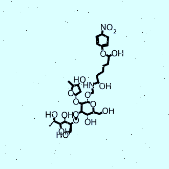 CC1O[C@@H](OC2C(OOC(CO)[C@H](O)C(O)[C@@H](C)O)[C@@H](O)C(CO)O[C@H]2OCNC(O)CCCCC(O)OC2=CCC([N+](=O)[O-])C=C2)C[C@@H]1O